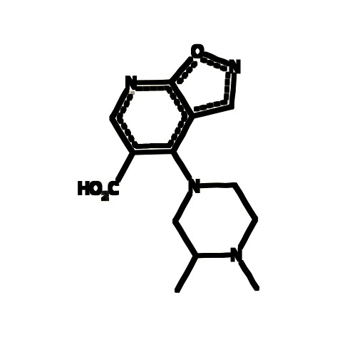 CC1CN(c2c(C(=O)O)cnc3oncc23)CCN1C